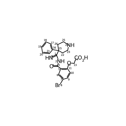 N=C(NC(=O)c1cc(Br)ccc1OCC(=O)O)C1(c2ccccc2)CCNCC1